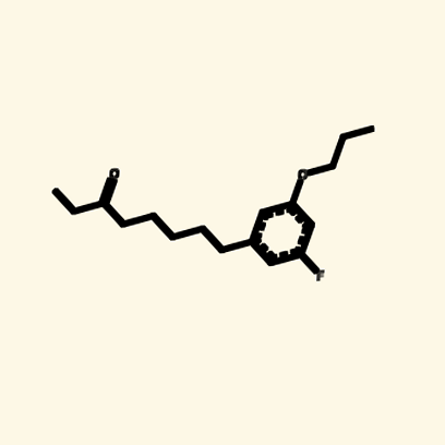 CCCOc1cc(F)cc(CCCCCC(=O)CC)c1